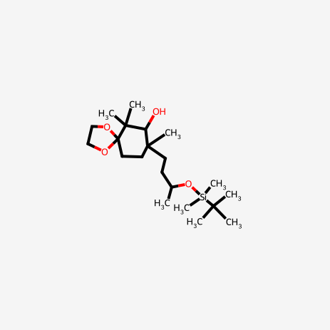 CC(CCC1(C)CCC2(OCCO2)C(C)(C)C1O)O[Si](C)(C)C(C)(C)C